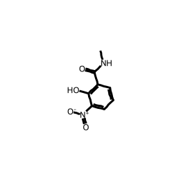 CNC(=O)c1cccc([N+](=O)[O-])c1O